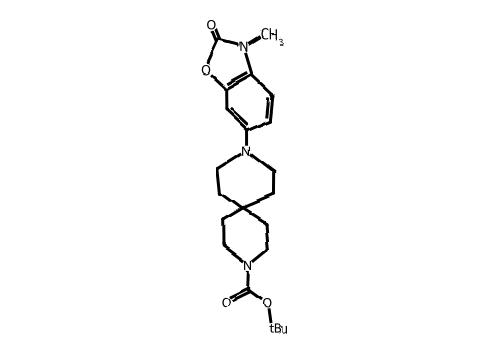 Cn1c(=O)oc2cc(N3CCC4(CCN(C(=O)OC(C)(C)C)CC4)CC3)ccc21